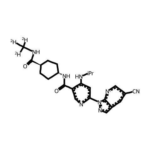 [2H]C([2H])([2H])NC(=O)[C@H]1CC[C@H](NC(=O)c2cnc(-n3ncc4cc(C#N)cnc43)cc2NC(C)C)CC1